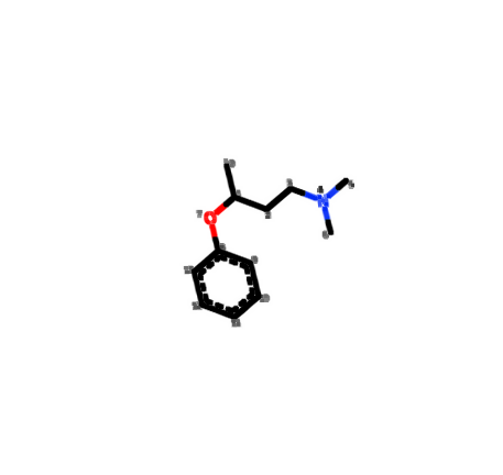 [CH2]C(CCN(C)C)Oc1ccccc1